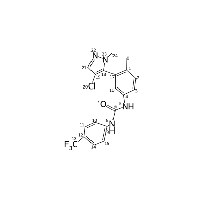 Cc1ccc(NC(=O)Nc2ccc(C(F)(F)F)cc2)cc1-c1c(Cl)cnn1C